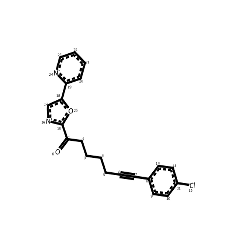 O=C(CCCCC#Cc1ccc(Cl)cc1)c1ncc(-c2ccccn2)o1